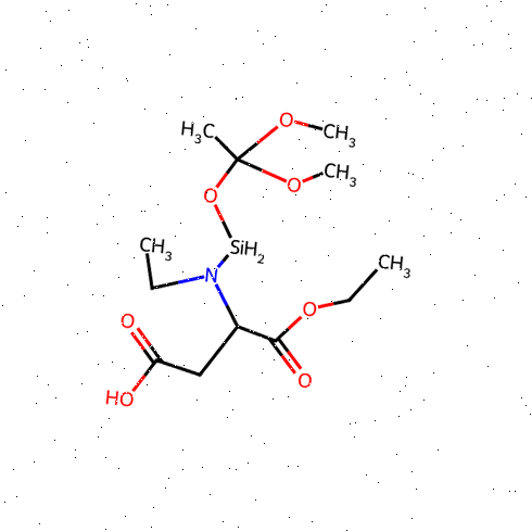 CCOC(=O)C(CC(=O)O)N(CC)[SiH2]OC(C)(OC)OC